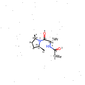 COC(=O)N[C@H](C(=O)N1[C@H](C)CC[C@@H]1C)C(C)C